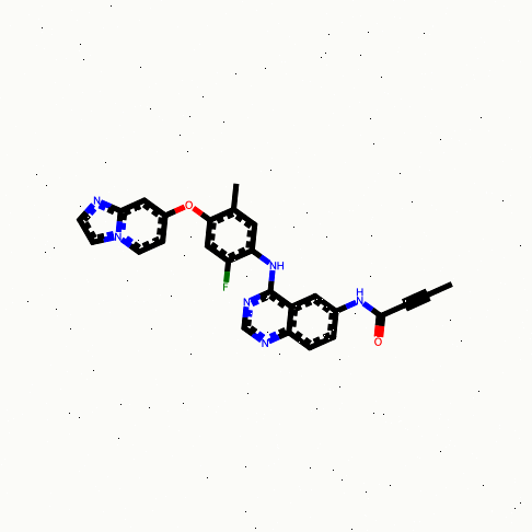 CC#CC(=O)Nc1ccc2ncnc(Nc3cc(C)c(Oc4ccn5ccnc5c4)cc3F)c2c1